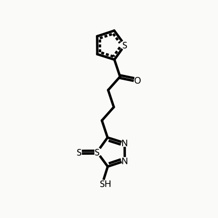 O=C(CCCC1=NN=C(S)S1=S)c1cccs1